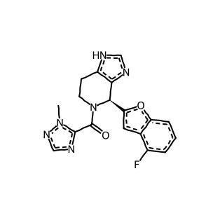 Cn1ncnc1C(=O)N1CCc2[nH]cnc2[C@H]1c1cc2c(F)cccc2o1